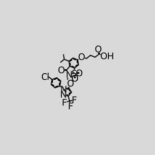 CC(C)c1cc(OCCCC(=O)O)cc2c1C(=O)N(COc1cc(C(F)(F)F)nn1-c1ccc(Cl)cc1)S2(=O)=O